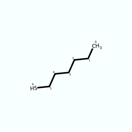 CCCCCCS